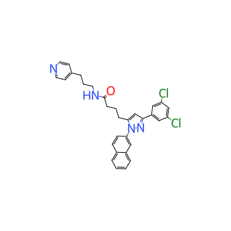 O=C(CCCc1cc(-c2cc(Cl)cc(Cl)c2)nn1-c1ccc2ccccc2c1)NCCCc1ccncc1